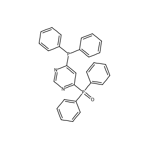 O=P(c1ccccc1)(c1ccccc1)c1cc(P(c2ccccc2)c2ccccc2)ncn1